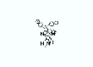 COc1ccc(CN(Cc2ccc(OC)cc2)C(Cc2ccccc2)C(=O)Nc2sc(C(N)=O)c(C)c2C#N)cc1